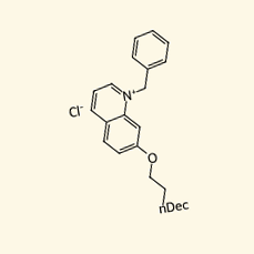 CCCCCCCCCCCCOc1ccc2ccc[n+](Cc3ccccc3)c2c1.[Cl-]